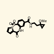 COC1(CCNC(=O)c2ccc3c(c2)NC(=O)c2cccn2S3(=O)=O)CC1